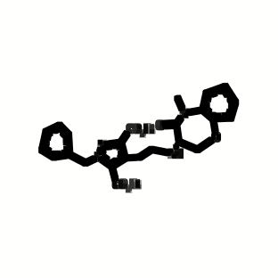 CCOC(=O)c1nn(Cc2ccccc2)c(C(=O)OCC)c1CCN[C@H]1COc2ccccc2N(C)C1=O